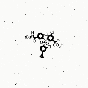 CC(C)(C)NC(=O)c1ccc(Oc2ccc(C(F)C(=O)O)cc2Cl)c(NS(=O)(=O)c2ccc(C3CC3)cc2Cl)c1